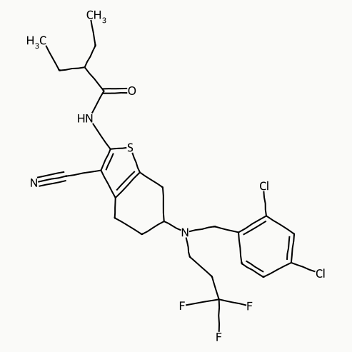 CCC(CC)C(=O)Nc1sc2c(c1C#N)CCC(N(CCC(F)(F)F)Cc1ccc(Cl)cc1Cl)C2